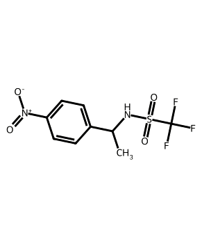 CC(NS(=O)(=O)C(F)(F)F)c1ccc([N+](=O)[O-])cc1